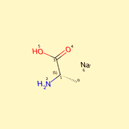 C[C@H](N)C(=O)O.[Na]